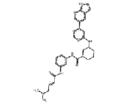 CN(C)C/C=C/C(=O)Nc1cccc(NC(=O)N2CCCC(Nc3cc(-c4cnc5[nH]ccc5c4)ncn3)C2)c1